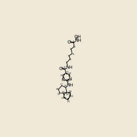 O=C(CCCCCCNC(=O)c1cnc(NC2CCCc3ccccc32)nc1)NO